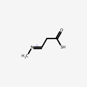 C/N=C/CC(=O)S